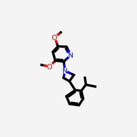 COc1cnc(N2CC(c3ccccc3C(C)C)C2)c(OC)c1